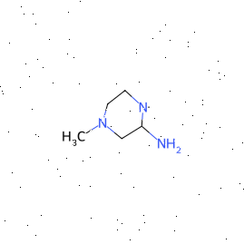 CN1CC[N]C(N)C1